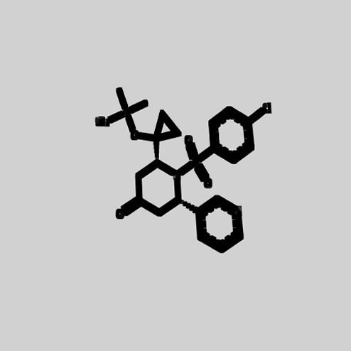 CC(C)(C)[Si](C)(C)OC1([C@H]2CC(=O)C[C@@H](c3cccnc3)N2S(=O)(=O)c2ccc(Cl)cc2)CC1